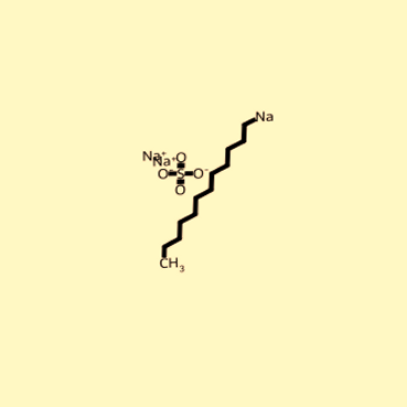 CCCCCCCCCCC[CH2][Na].O=S(=O)([O-])[O-].[Na+].[Na+]